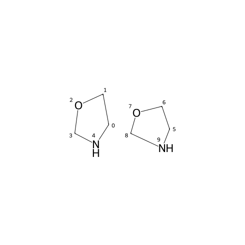 C1COCN1.C1COCN1